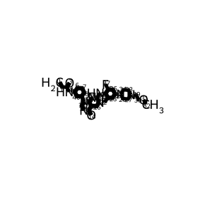 C=CC(=O)Nc1cccc(-n2cnc(=O)c3cnc(Nc4c(F)cc(N5CCN(CCOC)CC5)cc4F)nc32)c1